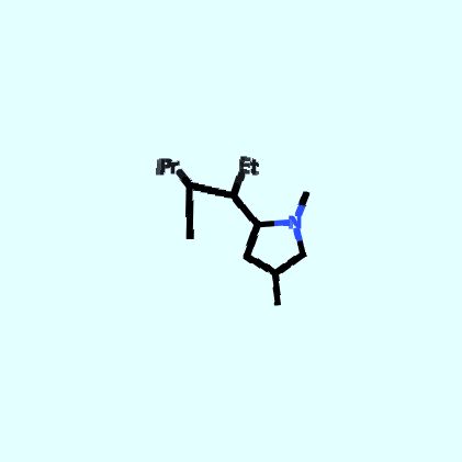 CCC(C(C)C(C)C)C1CC(C)CN1C